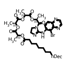 CCCCCCCCCCCCCCCCCC(=O)O[C@@H](C)C(=O)O[C@@H](C)C(=O)O[C@@H](C)C(=O)O[C@@H](C)C(=O)N1CCN=C1Nc1ccc2nccnc2c1Br